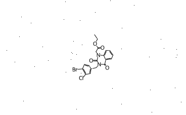 CCOC(=O)Cn1c(=O)n(Cc2ccc(Br)c(Cl)c2)c(=O)c2ccccc21